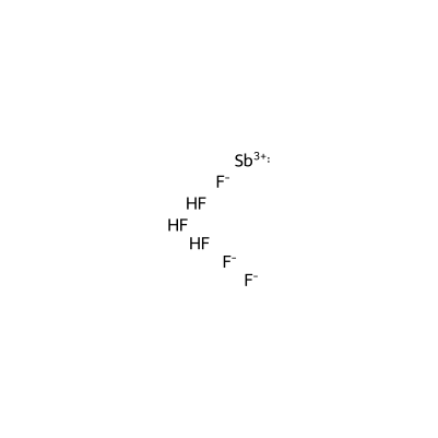 F.F.F.[F-].[F-].[F-].[Sb+3]